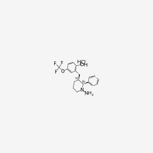 Cl.NN1CCC[C@@H](Cc2cc(OC(F)(F)F)ccc2O)[C@H]1c1ccccc1